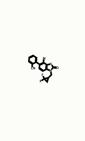 N#Cc1ccccc1-c1ccc2c(sc(=O)n2CC2CC2(F)F)c1Br